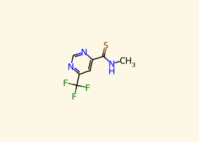 CNC(=S)c1cc(C(F)(F)F)ncn1